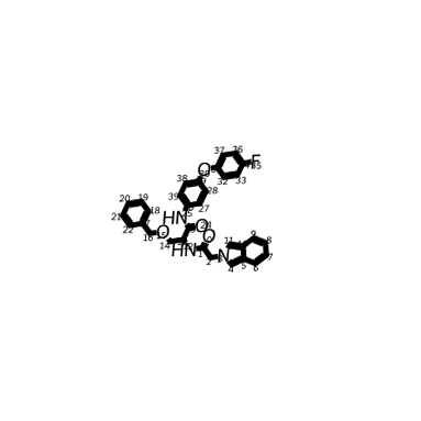 O=C(Cn1cc2ccccc2c1)NC(COCc1ccccc1)C(=O)Nc1ccc(Oc2ccc(F)cc2)cc1